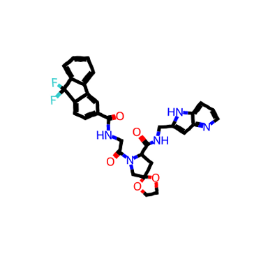 O=C(NCC(=O)N1CC2(CC1C(=O)NCc1cc3ncccc3[nH]1)OCCO2)c1ccc2c(c1)-c1ccccc1C2(F)F